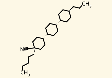 CCCCC[C@]1(C#N)CC[C@H](C2CCC([C@H]3CC[C@H](CCC)CC3)CC2)CC1